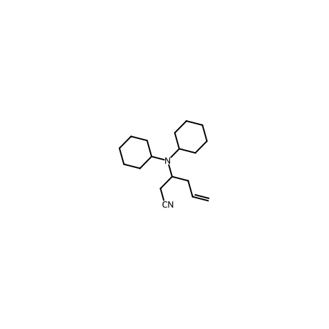 C=CCC(CC#N)N(C1CCCCC1)C1CCCCC1